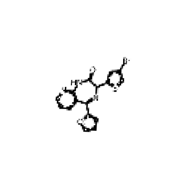 O=C1Nc2ncccc2C(c2ccco2)=NC1c1cc(Br)cs1